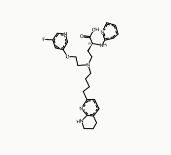 O=C(O)[C@H](CCN(CCCCc1ccc2c(n1)NCCC2)CCOc1cncc(F)c1)Nc1ccccn1